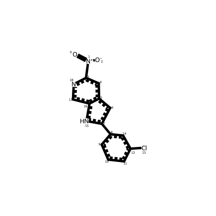 O=[N+]([O-])c1cc2cc(-c3cccc(Cl)c3)[nH]c2cn1